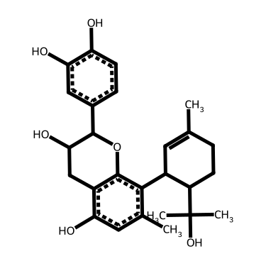 CC1=CC(c2c(C)cc(O)c3c2OC(c2ccc(O)c(O)c2)C(O)C3)C(C(C)(C)O)CC1